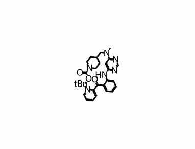 CN(CC1CCN(C(=O)OC(C)(C)C)CC1)c1cc(Nc2ccccc2C(=O)c2ccccn2)ncn1